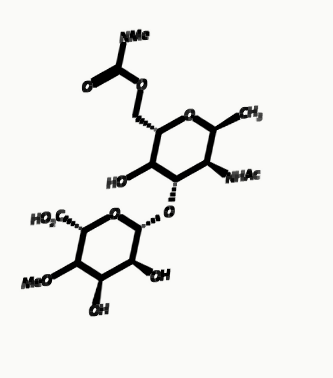 CNC(=O)OC[C@@H]1O[C@@H](C)[C@@H](NC(C)=O)[C@H](O[C@H]2O[C@@H](C(=O)O)C(OC)[C@H](O)[C@@H]2O)C1O